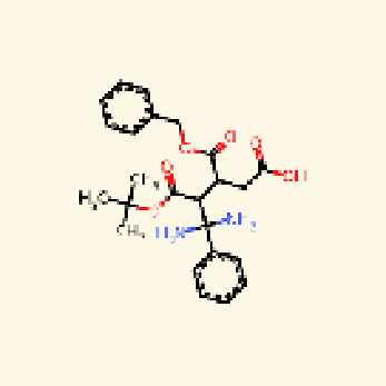 CC(C)(C)OC(=O)C(C(CC(=O)O)C(=O)OCc1ccccc1)C(N)(N)c1ccccc1